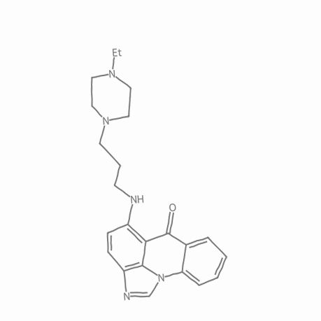 CCN1CCN(CCCNc2ccc3ncn4c5ccccc5c(=O)c2c34)CC1